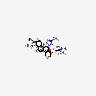 Cc1nnn([C@@H]2C[C@@]34COC[C@](C)([C@@H]3CC[C@H]3C4=CC[C@@]4(C)[C@H](C(=O)O)[C@@](C)([C@H](C)C(C)C)CC[C@]34C)[C@H]2OC[C@](C)(N)C(C)C)n1